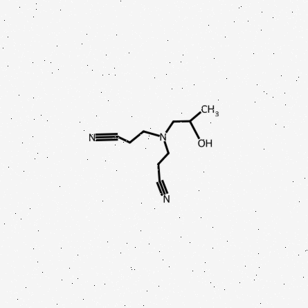 CC(O)CN(CCC#N)CCC#N